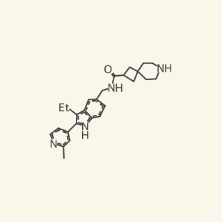 CCc1c(-c2ccnc(C)c2)[nH]c2ccc(CNC(=O)C3CC4(CCNCC4)C3)cc12